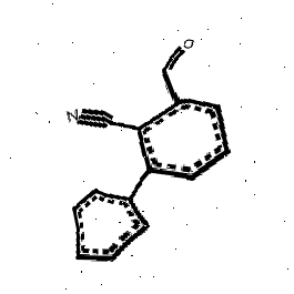 N#Cc1c(C=O)cccc1-c1ccccc1